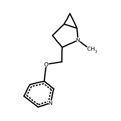 CN1C(COc2cccnc2)CC2CC21